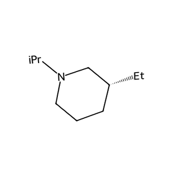 CC[C@@H]1CCCN(C(C)C)C1